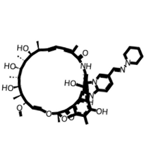 CO[C@H]1/C=C/O[C@@]2(C)Oc3c(C)c(O)c4c(O)c(c5c(c4c3C2=O)NC2C=CC(/C=N/N3CCCCC3)=CN52)NC(=O)/C(C)=C\C=C\[C@H](C)[C@H](O)[C@@H](C)[C@@H](O)[C@@H](C)[C@H](O)[C@@H]1C